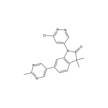 Cc1ncc(-c2ccc3c(c2)N(c2cnnc(Cl)c2)C(=O)C3(C)C)cn1